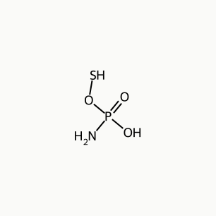 NP(=O)(O)OS